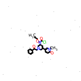 C=CCON(C(=O)Cl)C1C=C(c2ccc(=O)n(C)c2)CN(CC(=O)c2ccccc2)C1